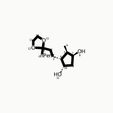 CCCCCC1(CC[C@@H]2[C@@H](C)[C@@H](O)C[C@@H]2O)OCCO1